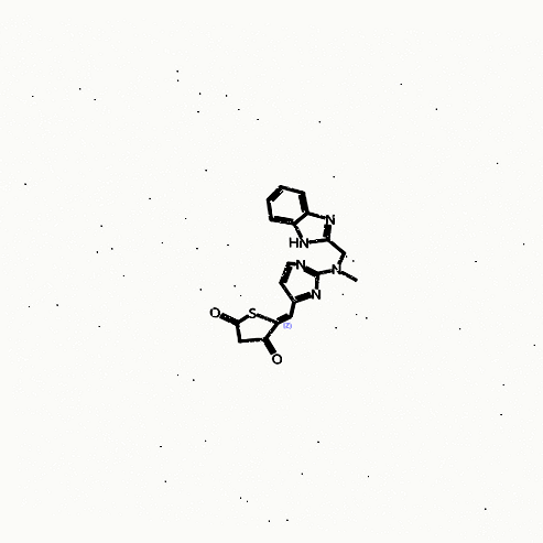 CN(Cc1nc2ccccc2[nH]1)c1nccc(/C=C2\SC(=O)CC2=O)n1